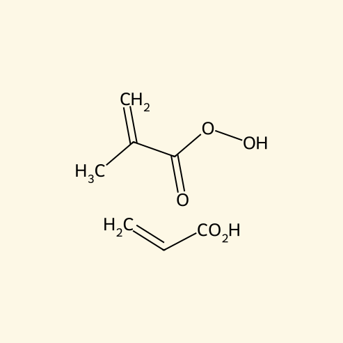 C=C(C)C(=O)OO.C=CC(=O)O